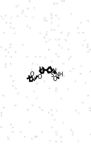 CC(=O)Nc1nc2ccc(-c3cncc(OCCN4CCC(C)(C)C4=O)c3)cc2s1